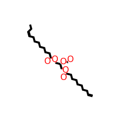 C=CCCCCCCCC(=O)OCC(COC(=O)CCCCCCC/C=C\CC)OC=O